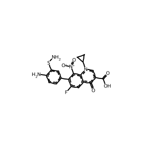 NSc1cc(-c2c(F)cc3c(=O)c(C(=O)O)cn(C4CC4)c3c2[N+](=O)[O-])ccc1N